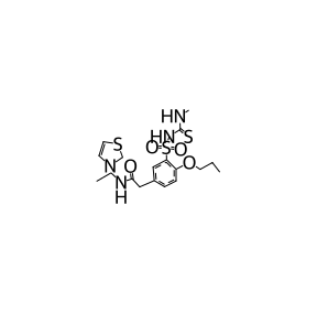 CCCOc1ccc(CC(=O)NC(C)N2C=CSC2)cc1S(=O)(=O)NC(=S)NC